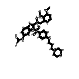 COc1ccnc(C[S+]([O-])c2nc3ccc(OC(F)F)cc3n2S(=O)(=O)c2ccc(OCCCN3CCOCC3)cc2)c1OC